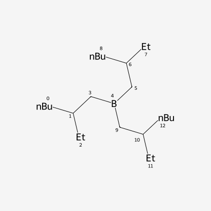 CCCCC(CC)CB(CC(CC)CCCC)CC(CC)CCCC